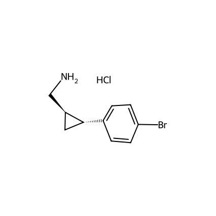 Cl.NC[C@@H]1C[C@H]1c1ccc(Br)cc1